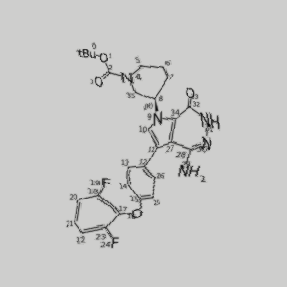 CC(C)(C)OC(=O)N1CCC[C@@H](n2cc(-c3ccc(Oc4c(F)cccc4F)cc3)c3c(N)n[nH]c(=O)c32)C1